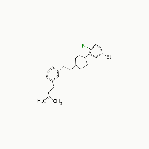 C=C(C)CCc1cccc(CCC2CCC(c3cc(CC)ccc3F)CC2)c1